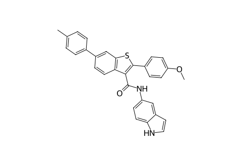 COc1ccc(-c2sc3cc(-c4ccc(C)cc4)ccc3c2C(=O)Nc2ccc3[nH]ccc3c2)cc1